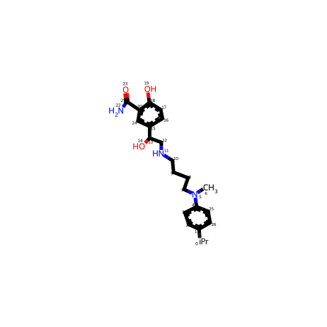 CC(C)c1ccc(N(C)CCCCNCC(O)c2ccc(O)c(C(N)=O)c2)cc1